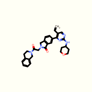 C=Cc1cnc(NC2CCOCC2)nc1-c1ccc2c(c1)C(=O)N(CC(=O)N1CCc3ccccc3C1)C2